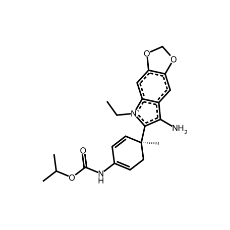 CCn1c([C@]2(C)C=CC(NC(=O)OC(C)C)=CC2)c(N)c2cc3c(cc21)OCO3